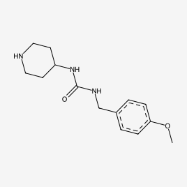 COc1ccc(CNC(=O)NC2CCNCC2)cc1